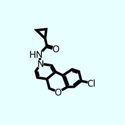 O=C(NN1C=CC2COc3cc(Cl)ccc3C2=C1)C1CC1